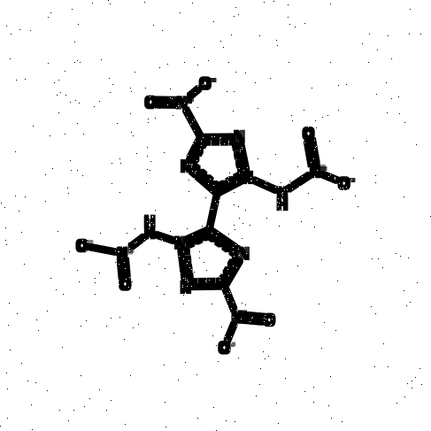 O=[N+]([O-])Nn1nc([N+](=O)[O-])nc1-c1nc([N+](=O)[O-])nn1N[N+](=O)[O-]